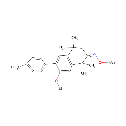 CCCCON=C1CC(C)(C)c2cc(-c3ccc(C(=O)O)cc3)c(OCC)cc2C1(C)C